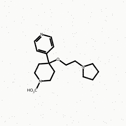 O=C(O)N1CCC(OCCN2CCCC2)(c2ccncc2)CC1